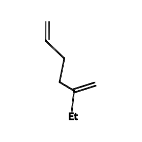 C=CCCC(=C)CC